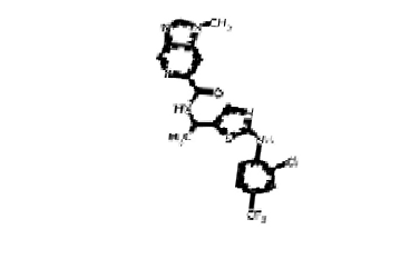 CC(NC(=O)c1cc2c(cn1)ncn2C)c1cnc(Nc2ccc(C(F)(F)F)cc2Cl)s1